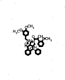 C=C(C(=O)N1C[C@H]2[C@@]3(c4ccccc4)CC[C@H](c4ccccc43)[C@@]2(C(=O)NCc2ccc(OC)c(OC)c2)C1)c1ccccc1OC